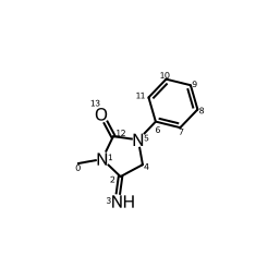 CN1C(=N)CN(c2ccccc2)C1=O